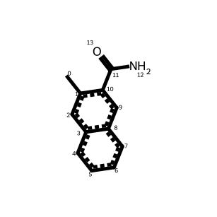 Cc1cc2ccccc2cc1C(N)=O